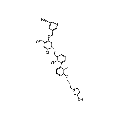 Cc1c(OCCCN2CCC(O)C2)cccc1-c1cccc(COc2cc(OCc3cncc(C#N)c3)c(C=O)cc2Cl)c1Cl